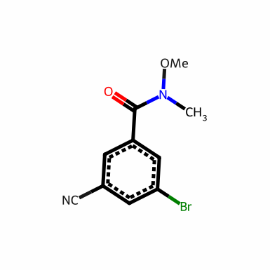 CON(C)C(=O)c1cc(Br)cc(C#N)c1